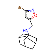 Brc1cc(CNC23CC4CC(CC(C4)C2)C3)on1